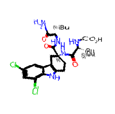 CC[C@H](C)C(NC(=O)[C@@]1(NC(=O)C(NC(=O)O)[C@@H](C)CC)CCc2[nH]c3c(Cl)cc(Cl)cc3c2C1)C(N)=O